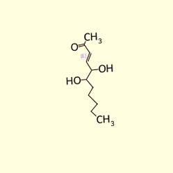 CCCCCC(O)C(O)/C=C/C(C)=O